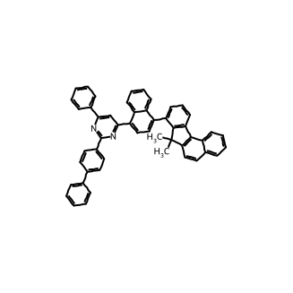 CC1(C)c2ccc3ccccc3c2-c2cccc(-c3ccc(-c4cc(-c5ccccc5)nc(-c5ccc(-c6ccccc6)cc5)n4)c4ccccc34)c21